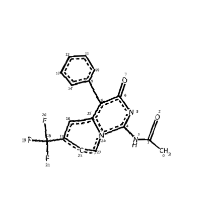 CC(=O)Nc1nc(=O)c(-c2ccccc2)c2cc(C(F)(F)F)ccn12